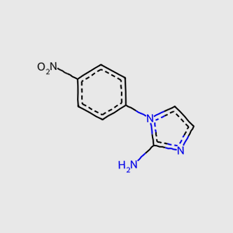 Nc1nccn1-c1ccc([N+](=O)[O-])cc1